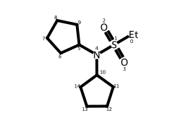 CCS(=O)(=O)N(C1CCCC1)C1CCCC1